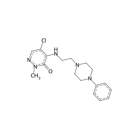 Cn1ncc(Cl)c(NCCN2CCN(c3ccccc3)CC2)c1=O